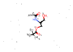 CCC(C)(C)C(=O)OCC(CO)NC(=O)NC